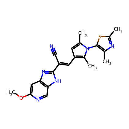 COc1cc2nc(C(C#N)=Cc3cc(C)n(-c4sc(C)nc4C)c3C)[nH]c2cn1